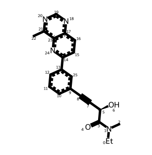 CCN(C)C(=O)[C@H](O)C#Cc1cccc(-c2ccc3ncnc(C)c3n2)c1